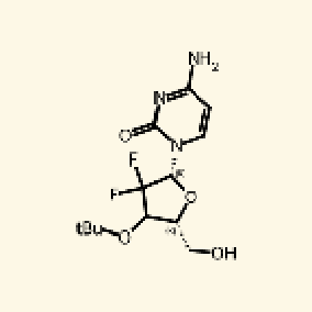 CC(C)(C)OC1[C@@H](CO)O[C@@H](n2ccc(N)nc2=O)C1(F)F